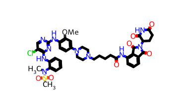 COc1cc(N2CCN(CCCCC(=O)Nc3cccc4c3C(=O)N(C3CCC(=O)NC3=O)C4=O)CC2)ccc1Nc1ncc(Cl)c(Nc2ccccc2N(C)S(C)(=O)=O)n1